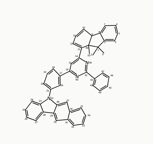 CC1(C)c2ccccc2C2C=CC=C(c3cc(-c4cccc(-n5c6ccccc6c6cc7ccccc7cc65)c4)nc(-c4ccccc4)n3)C21C